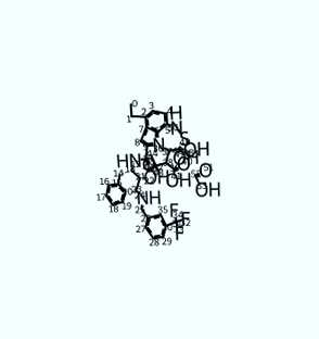 CCc1ccc2c3c1cc(C(=O)N[C@@H](Cc1ccccc1)[C@H](O)CNCc1cccc(C(F)(F)F)c1)n3C(C(C(=O)O)C(C)(C)C)C(O)(O)SN2.O=CO